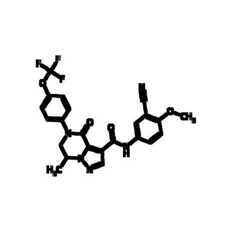 COc1ccc(NC(=O)c2cnn3c2C(=O)N(c2ccc(OC(F)(F)F)cc2)CC3C)cc1C#N